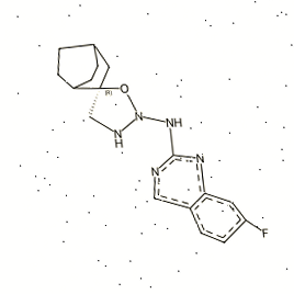 Fc1ccc2cnc(NN3NC[C@]4(CC5CCC4CC5)O3)nc2c1